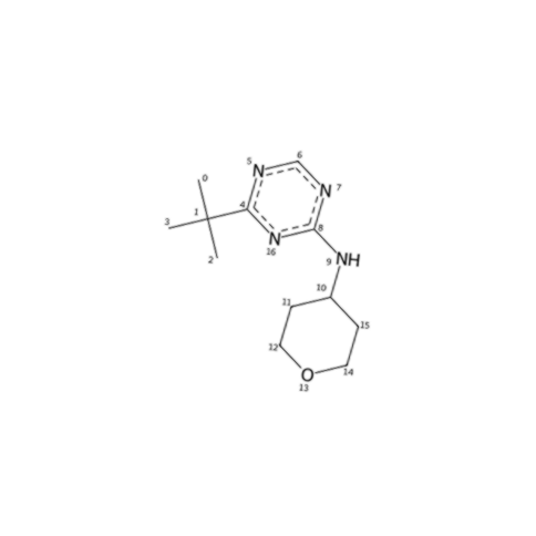 CC(C)(C)c1ncnc(NC2CCOCC2)n1